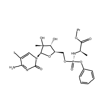 CC(C)OC(=O)[C@@H](C)N[P@](=O)(OC[C@H]1O[C@@H](n2cc(I)c(N)nc2=O)[C@](C)(O)[C@@H]1O)Oc1ccccc1